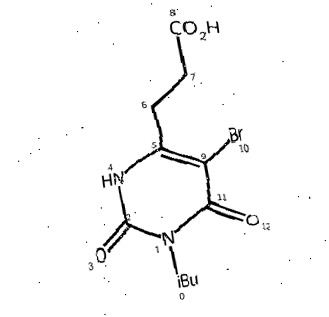 CCC(C)n1c(=O)[nH]c(CCC(=O)O)c(Br)c1=O